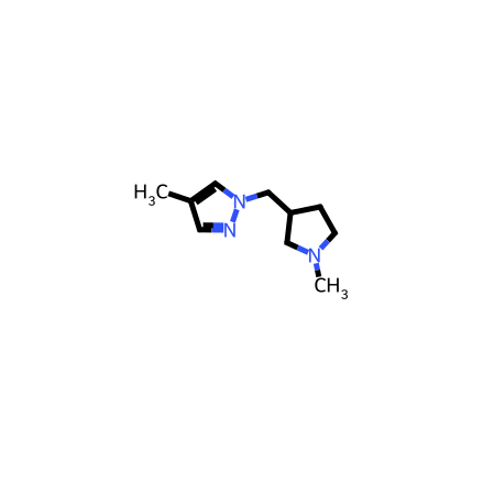 Cc1cnn(CC2CCN(C)C2)c1